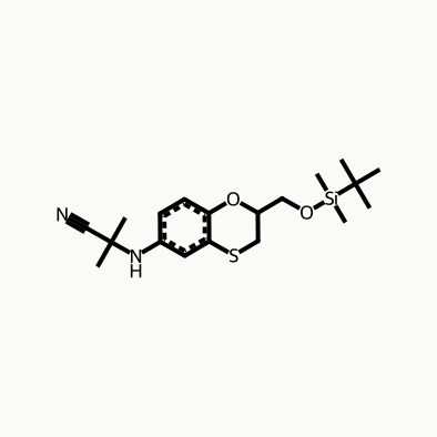 CC(C)(C#N)Nc1ccc2c(c1)SCC(CO[Si](C)(C)C(C)(C)C)O2